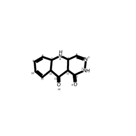 O=C1NN=CC2NC3C=CC=CC3C(=O)C12